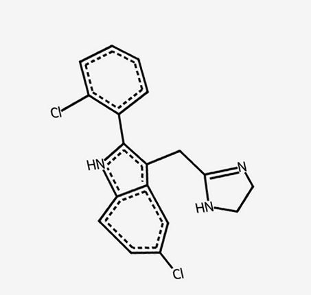 Clc1ccc2[nH]c(-c3ccccc3Cl)c(CC3=NCCN3)c2c1